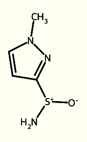 Cn1ccc([S+](N)[O-])n1